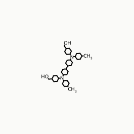 CC1CCC(N(C2CCC(CO)CC2)C2CCC(C3CCC(N(C4CCC(C)CC4)C4CCC(CO)CC4)CC3)CC2)CC1